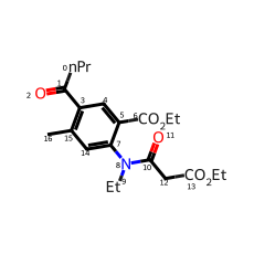 CCCC(=O)c1cc(C(=O)OCC)c(N(CC)C(=O)CC(=O)OCC)cc1C